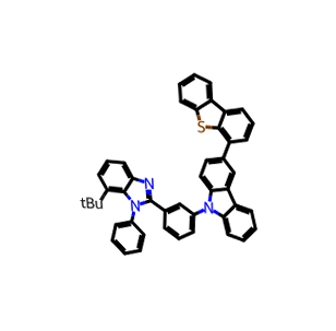 CC(C)(C)c1cccc2nc(-c3cccc(-n4c5ccccc5c5cc(-c6cccc7c6sc6ccccc67)ccc54)c3)n(-c3ccccc3)c12